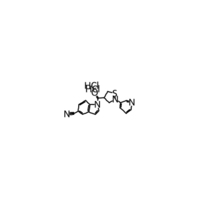 Cl.Cl.N#Cc1ccc2c(ccn2C(=O)C2CSN(c3cccnc3)C2)c1